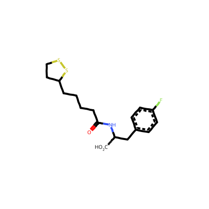 O=C(CCCCC1CCSS1)NC(Cc1ccc(F)cc1)C(=O)O